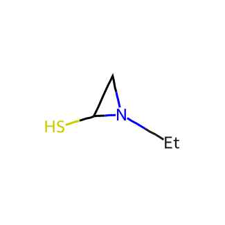 CCN1CC1S